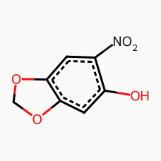 O=[N+]([O-])c1cc2c(cc1O)OCO2